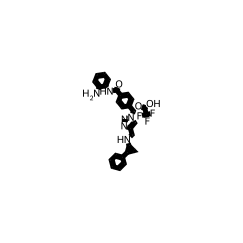 Nc1ccccc1NC(=O)c1ccc(Cn2cc(CNC3CC3c3ccccc3)nn2)cc1.O=C(O)C(F)(F)F